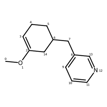 COC1=CCCC(Cc2cccnc2)C1